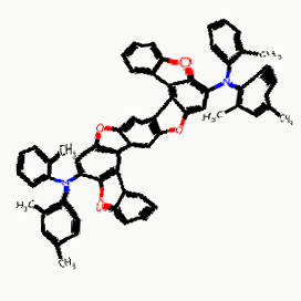 Cc1ccc(N(c2ccccc2C)c2cc3oc4cc5c(cc4c3c3c2oc2ccccc23)oc2cc(N(c3ccccc3C)c3ccc(C)cc3C)c3oc4ccccc4c3c25)c(C)c1